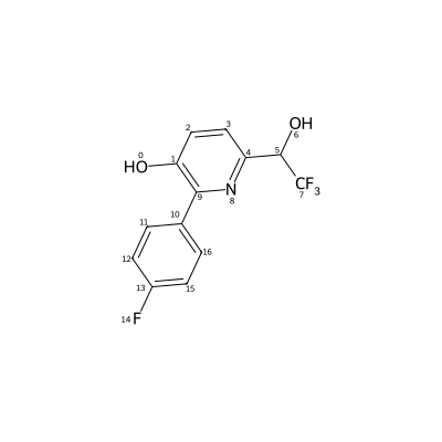 Oc1ccc(C(O)C(F)(F)F)nc1-c1ccc(F)cc1